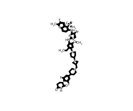 CCc1cc(Nc2ncc(Br)c(Nc3ccc4nc(C)c(F)cc4c3P(C)(C)=O)n2)c(OC)cc1N1CCC(N2CC(CN3CCC(c4cc(F)c([C@H]5CCC(=O)NC5=O)c(F)c4)CC3)C2)CC1